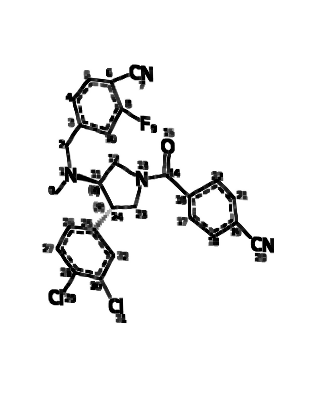 CN(Cc1ccc(C#N)c(F)c1)[C@H]1CN(C(=O)c2ccc(C#N)cc2)C[C@@H]1c1ccc(Cl)c(Cl)c1